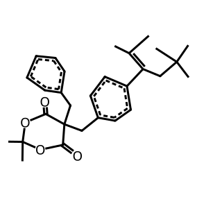 CC(C)=C(CC(C)(C)C)c1ccc(CC2(Cc3ccccc3)C(=O)OC(C)(C)OC2=O)cc1